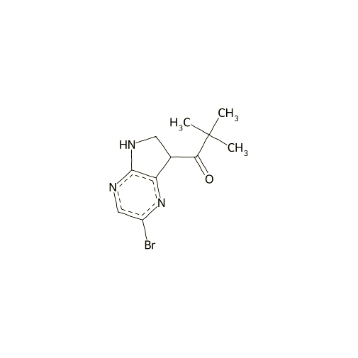 CC(C)(C)C(=O)C1CNc2ncc(Br)nc21